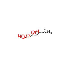 CCCCC(O)COCO